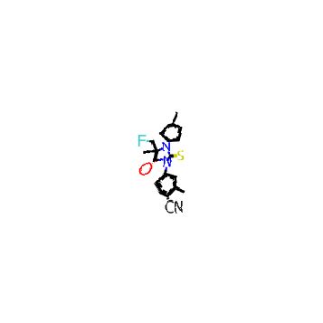 Cc1ccc(N2C(=S)N(c3ccc(C#N)c(C)c3)C(=O)C2(C)CF)cc1